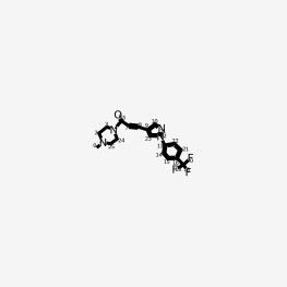 CN1CCN(C(=O)C#Cc2cnn(-c3ccc(C(F)(F)F)cc3)c2)CC1